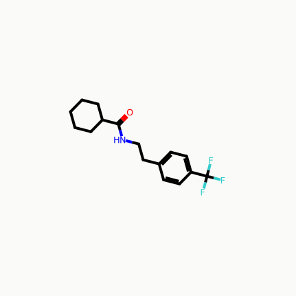 O=C(NCCc1ccc(C(F)(F)F)cc1)C1CCCCC1